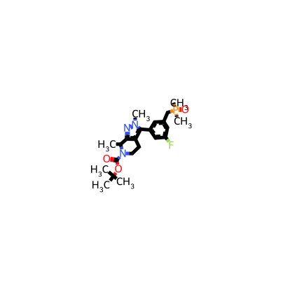 CC1c2nn(C)c(-c3cc(F)cc(CP(C)(C)=O)c3)c2CCN1C(=O)OC(C)(C)C